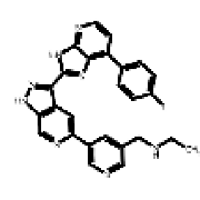 CCNCc1cncc(-c2cc3c(-c4nc5c(-c6ccc(F)cc6)ccnc5[nH]4)n[nH]c3cn2)c1